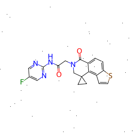 O=C(CN1CC2(CC2)c2c(ccc3sccc23)C1=O)Nc1ncc(F)cn1